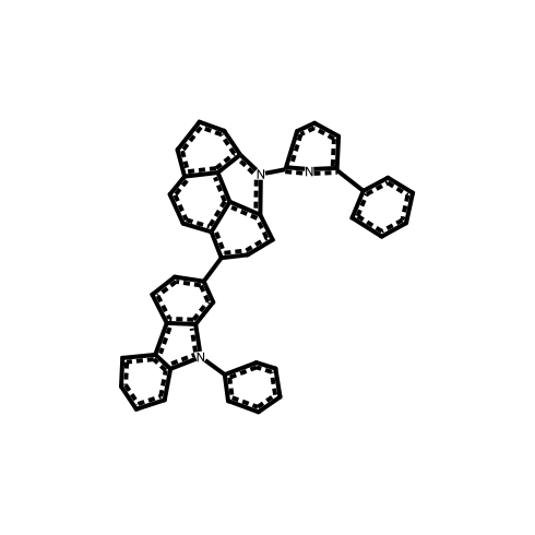 c1ccc(-c2cccc(-n3c4cccc5ccc6c(-c7ccc8c9ccccc9n(-c9ccccc9)c8c7)ccc3c6c54)n2)cc1